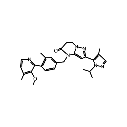 COc1c(C)ccnc1-c1ccc(CN2C(=O)CCn3nc(-c4c(C)cnn4C(C)C)cc32)cc1C